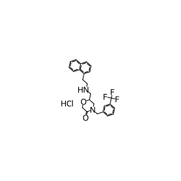 Cl.O=C1COC(CNCCc2cccc3ccccc23)CN1Cc1cccc(C(F)(F)F)c1